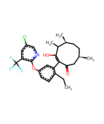 CCc1ccc(Oc2ncc(Cl)cc2C(F)(F)F)cc1/C1=C(\O)C(C)[C@@H](C)CC[C@@H](C)CC1=O